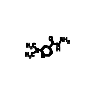 CN(C)c1cc(C(=O)NN)ccn1